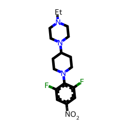 CCN1CCN(C2CCN(c3c(F)cc([N+](=O)[O-])cc3F)CC2)CC1